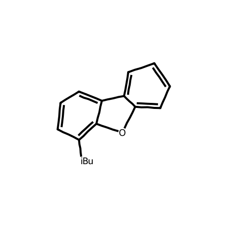 CCC(C)c1cccc2c1oc1ccccc12